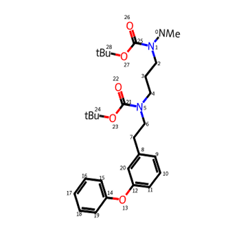 CNN(CCCN(CCc1cccc(Oc2ccccc2)c1)C(=O)OC(C)(C)C)C(=O)OC(C)(C)C